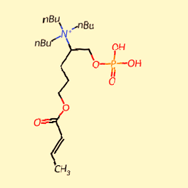 CC=CC(=O)OCCCC(COP(=O)(O)O)[N+](CCCC)(CCCC)CCCC